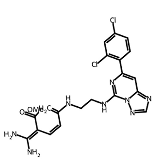 C=C(/C=C\C(C(=O)OC)=C(N)N)NCCNc1nc(-c2ccc(Cl)cc2Cl)cc2ncnn12